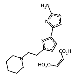 Nc1nc(-c2ccc(CCN3CCCCC3)s2)cs1.O=C(O)/C=C\C(=O)O